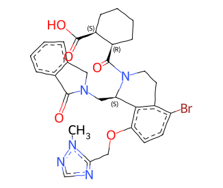 Cn1ncnc1COc1ccc(Br)c2c1[C@@H](CN1Cc3ccccc3C1=O)N(C(=O)[C@@H]1CCCC[C@@H]1C(=O)O)CC2